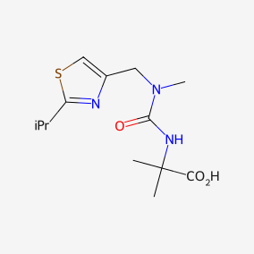 CC(C)c1nc(CN(C)C(=O)NC(C)(C)C(=O)O)cs1